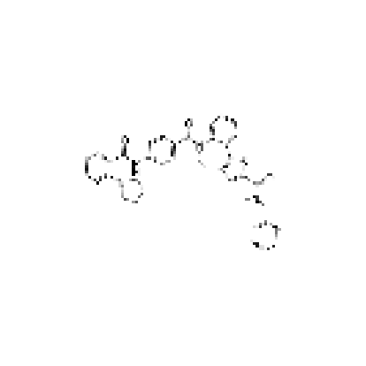 O=C(NCc1ccccn1)c1cc2c(s1)-c1ccccc1N(C(=O)c1ccc(NC(=O)c3cccnc3N3CCCC3)cc1)CC2